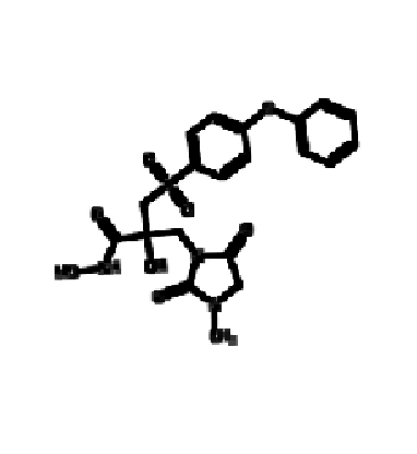 CN1CC(=O)N(CC(O)(CS(=O)(=O)c2ccc(Oc3ccccc3)cc2)C(=O)NO)C1=O